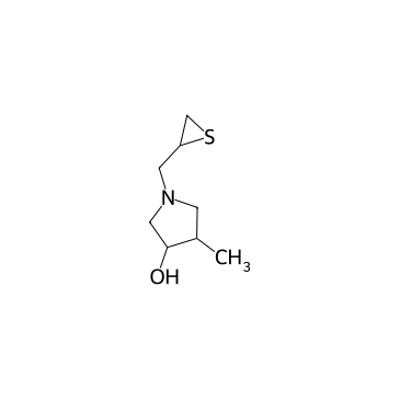 CC1CN(CC2CS2)CC1O